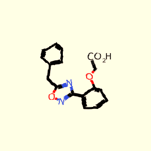 O=C(O)COc1ccccc1-c1noc(Cc2ccccc2)n1